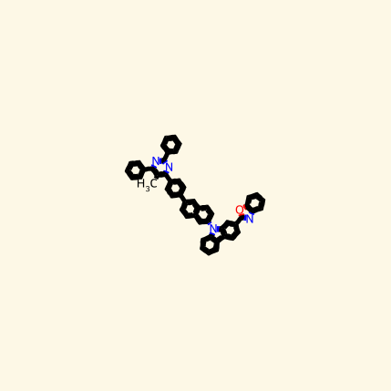 Cc1c(-c2ccccc2)nc(-c2ccccc2)nc1-c1ccc(-c2ccc3cc(-n4c5ccccc5c5ccc(-c6nc7ccccc7o6)cc54)ccc3c2)cc1